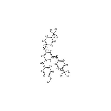 CCc1ccc(Sc2cc(Sc3ccc(C(C)(C)C)cc3)cc(Sc3ccc(C(C)(C)C)cc3)c2)cc1